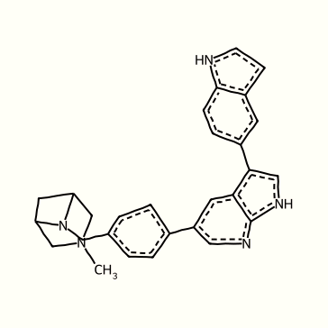 CN1CC2CC(C1)N2Cc1ccc(-c2cnc3[nH]cc(-c4ccc5[nH]ccc5c4)c3c2)cc1